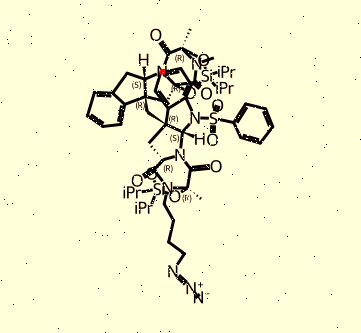 CC(C)[Si]1(C(C)C)O[C@]2(C)C(=O)N3[C@H]4Cc5ccccc5[C@@]4(C[C@]45C[C@]67O[Si](C(C)C)(C(C)C)O[C@](C)(C(=O)N6[C@H]4N(S(=O)(=O)c4ccccc4)c4ccccc45)N(CCCCN=[N+]=[N-])C7=O)C[C@@]3(O1)C(=O)N2C